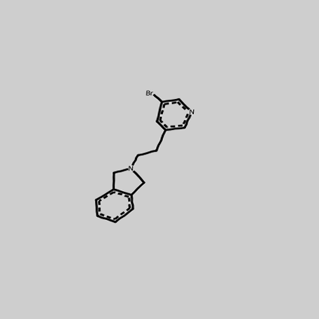 Brc1cncc(CCN2Cc3ccccc3C2)c1